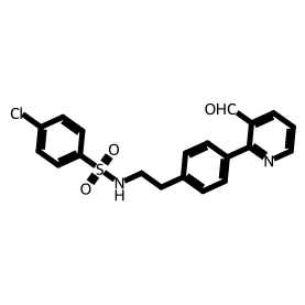 O=Cc1cccnc1-c1ccc(CCNS(=O)(=O)c2ccc(Cl)cc2)cc1